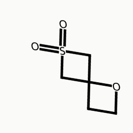 O=S1(=O)CC2(CCO2)C1